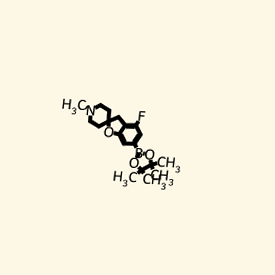 CN1CCC2(CC1)Cc1c(F)cc(B3OC(C)(C)C(C)(C)O3)cc1O2